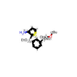 CC(C)(C)OC=O.CCCCCCCCCCc1ccccc1.CCOC(=O)c1sccc1N